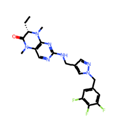 CC[C@H]1C(=O)N(C)c2cnc(NCc3cnn(Cc4cc(F)c(F)c(F)c4)c3)nc2N1C